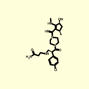 CNC1=C(C(=N)N2CCN(C(=O)[C@H](CNCCC(N)=O)c3ccc(Cl)cc3)CC2)[C@H](C)C[C@@H]1O